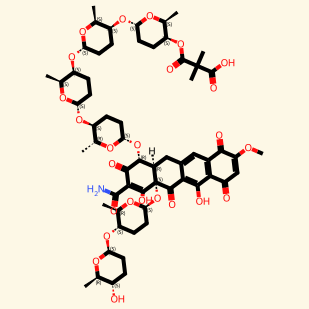 COC1=CC(=O)c2c(cc3c(c2O)C(=O)[C@@]2(O[C@H]4CC[C@H](O[C@H]5CC[C@H](O)[C@@H](C)O5)[C@@H](C)O4)C(O)=C(C(N)=O)C(=O)[C@H](O[C@H]4CC[C@H](O[C@H]5CC[C@H](O[C@H]6CC[C@H](O[C@H]7CC[C@H](OC(=O)C(C)(C)C(=O)O)[C@H](C)O7)[C@H](C)O6)[C@H](C)O5)[C@@H](C)O4)[C@H]2C3)C1=O